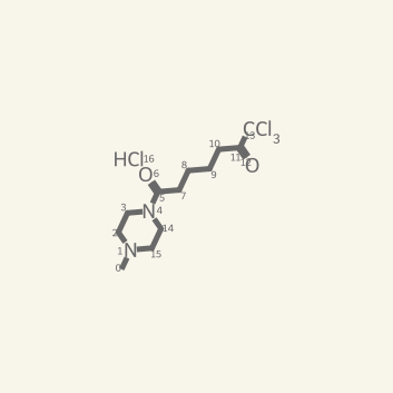 CN1CCN(C(=O)CCCCC(=O)C(Cl)(Cl)Cl)CC1.Cl